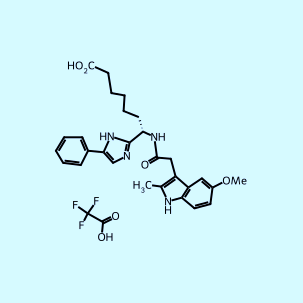 COc1ccc2[nH]c(C)c(CC(=O)N[C@@H](CCCCCC(=O)O)c3ncc(-c4ccccc4)[nH]3)c2c1.O=C(O)C(F)(F)F